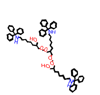 OCC(CCCCCCNC(c1ccccc1)(c1ccccc1)c1ccccc1)COCOCC(CCCCCCNC(c1ccccc1)(c1ccccc1)c1ccccc1)COCOCC(CO)CCCCCCNC(c1ccccc1)(c1ccccc1)c1ccccc1